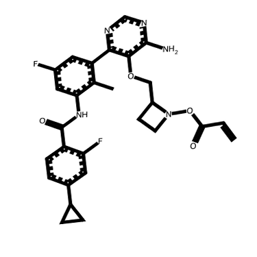 C=CC(=O)ON1CCC1COc1c(N)ncnc1-c1cc(F)cc(NC(=O)c2ccc(C3CC3)cc2F)c1C